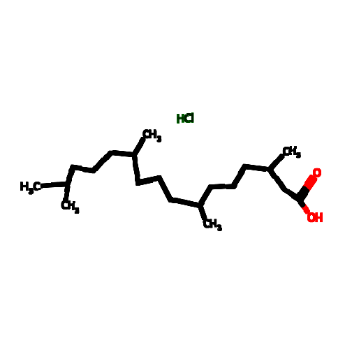 CC(C)CCCC(C)CCCC(C)CCCC(C)CC(=O)O.Cl